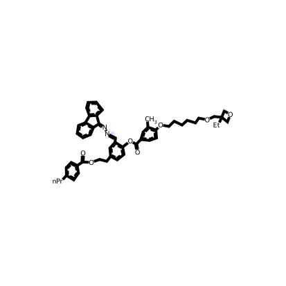 CCCc1ccc(C(=O)OCCc2ccc(OC(=O)c3ccc(OCCCCCCOCC4(CC)COC4)c(C)c3)c(/C=N/N=C3c4ccccc4-c4ccccc43)c2)cc1